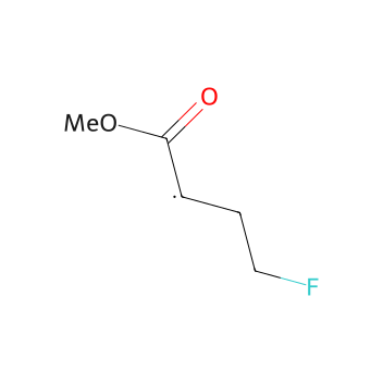 COC(=O)[CH]CCF